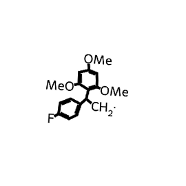 [CH2]C(c1ccc(F)cc1)c1c(OC)cc(OC)cc1OC